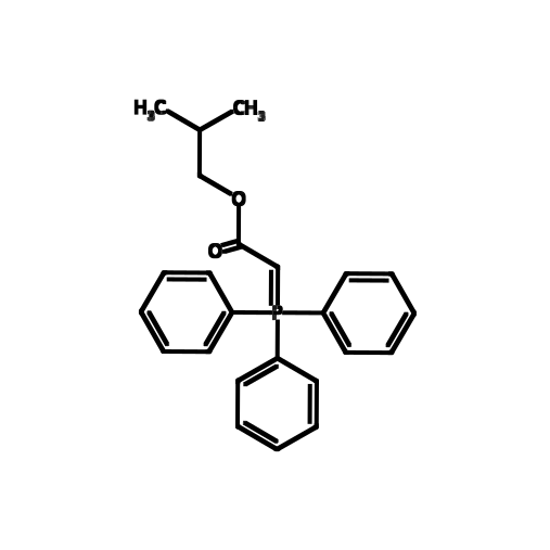 CC(C)COC(=O)C=P(c1ccccc1)(c1ccccc1)c1ccccc1